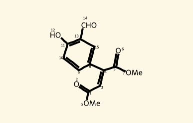 COC(=O)/C=C(/C(=O)OC)c1ccc(O)c(C=O)c1